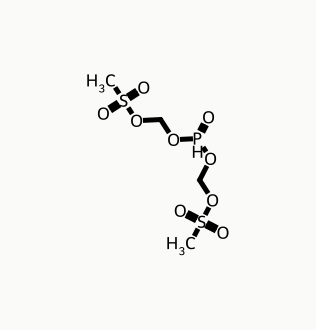 CS(=O)(=O)OCO[PH](=O)OCOS(C)(=O)=O